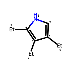 CCc1c[nH]c(CC)c1CC